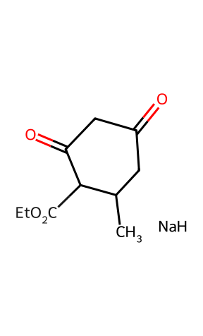 CCOC(=O)C1C(=O)CC(=O)CC1C.[NaH]